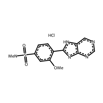 CNS(=O)(=O)c1ccc(-c2nc3ncncc3[nH]2)c(OC)c1.Cl